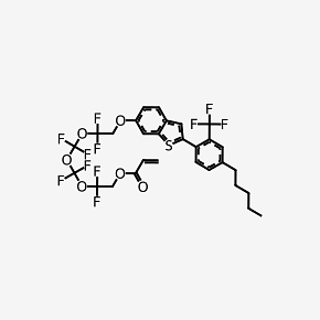 C=CC(=O)OCC(F)(F)OC(F)(F)OC(F)(F)OC(F)(F)COc1ccc2cc(-c3ccc(CCCCC)cc3C(F)(F)F)sc2c1